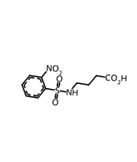 O=C(O)CCCNS(=O)(=O)c1ccccc1[N+](=O)[O-]